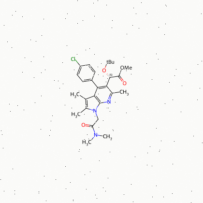 COC(=O)[C@@H](OC(C)(C)C)c1c(C)nc2c(c(C)c(C)n2CC(=O)N(C)C)c1-c1ccc(Cl)cc1